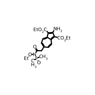 CCOC(=O)c1c2ccc(CC(=O)N(OCC)P(C)(C)=O)ccc-2c(C(=O)OCC)c1N